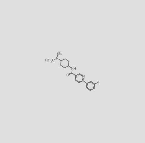 CC(C)(C)N(C(=O)O)C1CCC(NC(=O)c2ccc(-c3cccc(F)c3)nc2)CC1